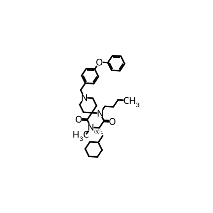 CCCCN1C(=O)[C@H](CC2CCCCC2)N(C)C(=O)C12CCN(Cc1ccc(Oc3ccccc3)cc1)CC2